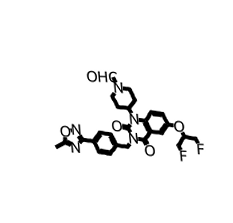 Cc1nc(-c2ccc(Cn3c(=O)c4cc(OC(CF)CF)ccc4n(C4CCN(C=O)CC4)c3=O)cc2)no1